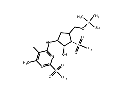 Cc1nc(S(C)(=O)=O)nc(NC2CC(CO[Si](C)(C)C(C)(C)C)[C@H](S(C)(=O)=O)[C@H]2O)c1I